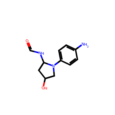 Nc1ccc(N2CC(O)CC2NC=O)cc1